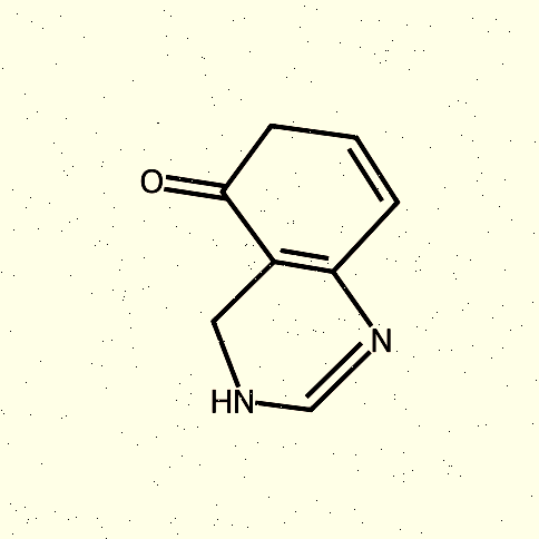 O=C1CC=CC2=C1CNC=N2